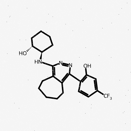 Oc1cc(C(F)(F)F)ccc1-c1nnc(N[C@@H]2CCCC[C@H]2O)c2c1CCCCC2